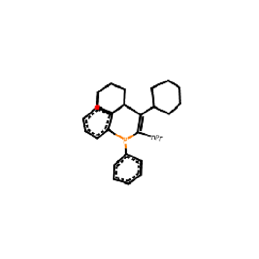 CCCC(=C(C1CCCCC1)C1CCCCC1)P(c1ccccc1)c1ccccc1